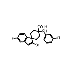 O=C(O)C1(Nc2cccc(Cl)c2)CCC2(CC1)C(Br)=Cc1cc(F)ccc12